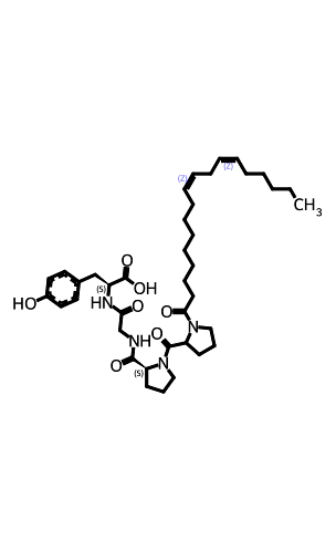 CCCCC/C=C\C/C=C\CCCCCCCC(=O)N1CCCC1C(=O)N1CCC[C@H]1C(=O)NCC(=O)N[C@@H](Cc1ccc(O)cc1)C(=O)O